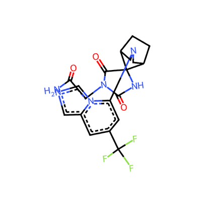 NC(=O)CN1C(=O)NC2(C1=O)C1CCC2CN(c2cc(C(F)(F)F)cc3cncn23)C1